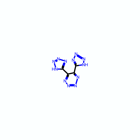 n1n[nH]c(-c2nnnnc2-c2nnn[nH]2)n1